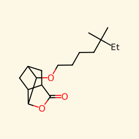 CCC(C)(C)CCCCOC1C2CC3C(=O)OC1C3C2